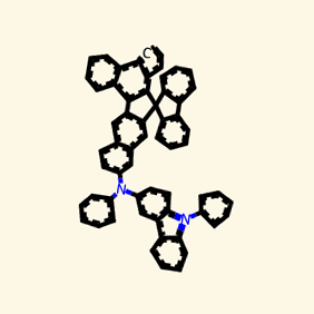 c1ccc(N(c2ccc3cc4c(cc3c2)C2(c3ccccc3-c3ccccc32)c2c-4c3ccccc3c3ccccc23)c2ccc3c(c2)c2ccccc2n3-c2ccccc2)cc1